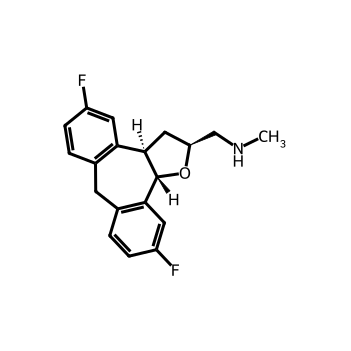 CNC[C@@H]1C[C@@H]2c3cc(F)ccc3Cc3ccc(F)cc3[C@H]2O1